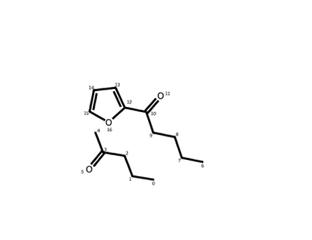 CCCC(C)=O.CCCCC(=O)c1ccco1